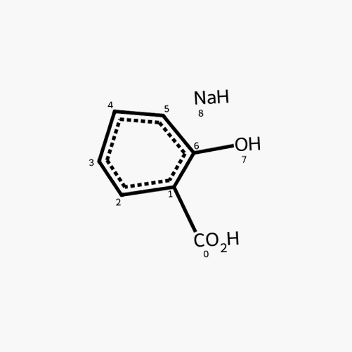 O=C(O)c1ccccc1O.[NaH]